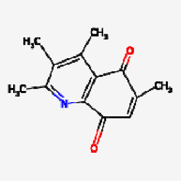 CC1=CC(=O)c2nc(C)c(C)c(C)c2C1=O